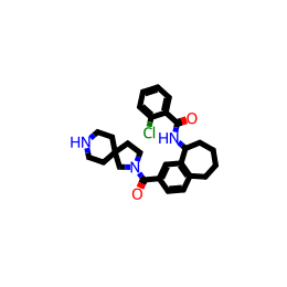 O=C(NC1CCCCc2ccc(C(=O)N3CCC4(CCNCC4)C3)cc21)c1ccccc1Cl